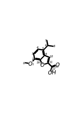 COc1ccc(C(C)C)c2cc(C(=O)O)oc12